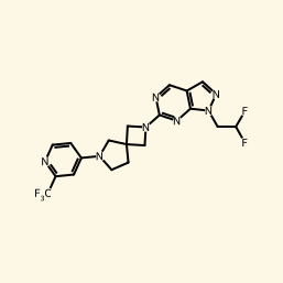 FC(F)Cn1ncc2cnc(N3CC4(CCN(c5ccnc(C(F)(F)F)c5)C4)C3)nc21